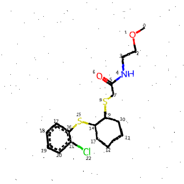 COCCNC(=O)CSC1CCCCC1Sc1ccccc1Cl